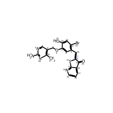 Nc1ncc(COc2cc(/C=C3\Sc4ncccc4C3=O)c(Br)cc2O)c(C(F)(F)F)n1